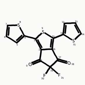 O=C1c2c(-c3cccs3)sc(-c3cccs3)c2C(=O)C1(F)F